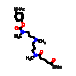 CNC(=O)CCCC(=O)N(C)CCCN(C)CCCN(C)C(=O)Oc1ccc(NC(C)=O)cc1